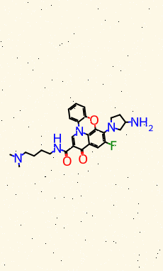 CN(C)CCCCNC(=O)c1cn2c3c(c(N4CCC(N)C4)c(F)cc3c1=O)Oc1ccccc1-2